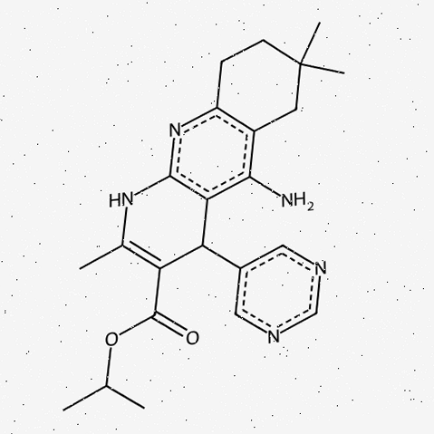 CC1=C(C(=O)OC(C)C)C(c2cncnc2)c2c(nc3c(c2N)CC(C)(C)CC3)N1